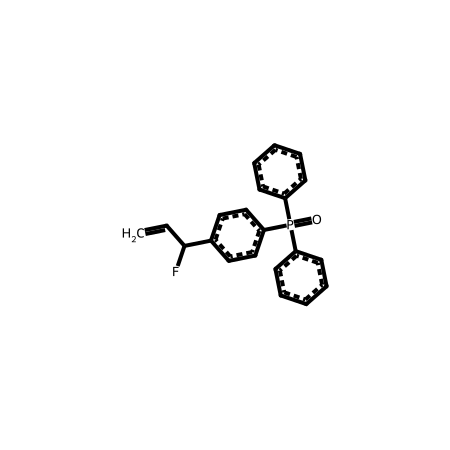 C=CC(F)c1ccc(P(=O)(c2ccccc2)c2ccccc2)cc1